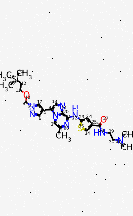 Cc1cn2c(-c3cnn(COCC[Si](C)(C)C)c3)cnc2c(Nc2cc(C(=O)NCCN(C)C)cs2)n1